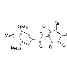 COc1cc(C(=O)c2coc3c2C(=O)C(=O)C(Br)=C3Br)cc(OC)c1OC